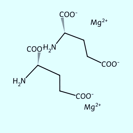 N[C@@H](CCC(=O)[O-])C(=O)[O-].N[C@@H](CCC(=O)[O-])C(=O)[O-].[Mg+2].[Mg+2]